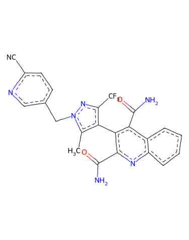 Cc1c(-c2c(C(N)=O)nc3ccccc3c2C(N)=O)c(C(F)(F)F)nn1Cc1ccc(C#N)nc1